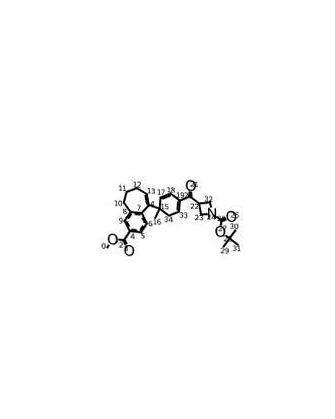 COC(=O)c1ccc2c(c1)CCCC=C2C1(C)C=CC(C(=O)C2CN(C(=O)OC(C)(C)C)C2)=CC1